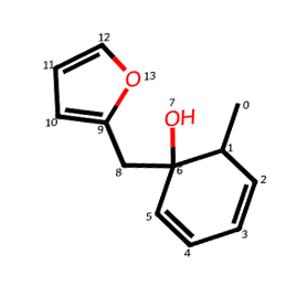 CC1C=CC=CC1(O)Cc1ccco1